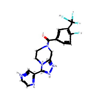 O=C(c1ccc(F)c(C(F)(F)F)c1)N1CCn2c(nnc2-c2cnccn2)C1